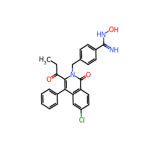 CCC(=O)c1c(-c2ccccc2)c2cc(Cl)ccc2c(=O)n1Cc1ccc(C(=N)NO)cc1